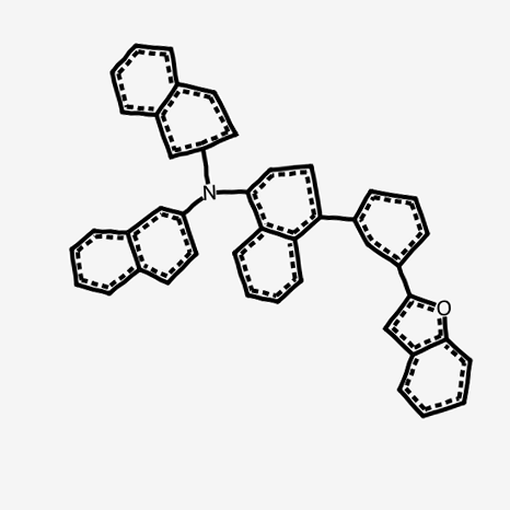 c1cc(-c2cc3ccccc3o2)cc(-c2ccc(N(c3ccc4ccccc4c3)c3ccc4ccccc4c3)c3ccccc23)c1